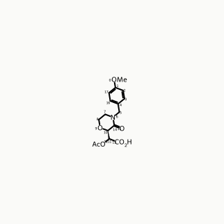 COc1ccc(CN2CCO[C@H](C(OC(C)=O)C(=O)O)C2=O)cc1